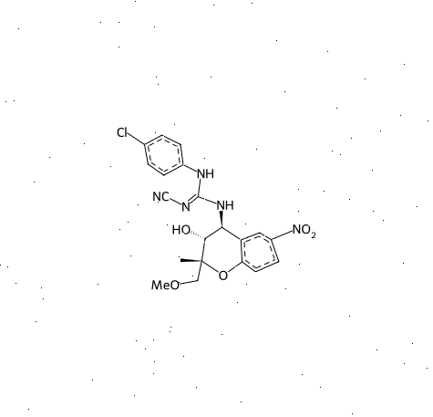 COC[C@@]1(C)Oc2ccc([N+](=O)[O-])cc2[C@H](NC(=NC#N)Nc2ccc(Cl)cc2)[C@H]1O